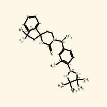 Cc1cc([C@H](C)N2CCC(CC(C)(C)O)(c3ccccc3)OC2=O)ccc1B1OC(C)(C)C(C)(C)O1